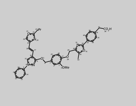 COc1cc(COc2nn(-c3ccccc3)cc2/C=C/c2coc(C(C)C)n2)ccc1OCc1nc(-c2ccc(CC(=O)O)cc2)oc1C